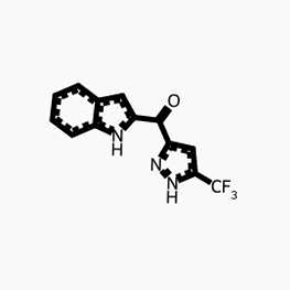 O=C(c1cc(C(F)(F)F)[nH]n1)c1cc2ccccc2[nH]1